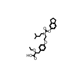 CCOC(Cc1ccc(OCCN(CCC(C)C)C(=O)Oc2ccc3c(c2)CCC3)cc1)C(=O)O